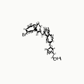 OCCn1cc(-c2cnc3nnn(Cc4ccn5ccc(Br)c5c4)c3n2)cn1